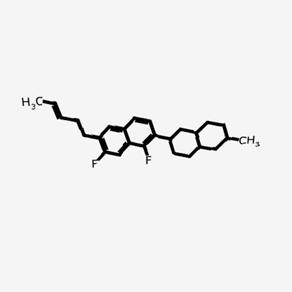 C/C=C/CCc1cc2ccc(C3CCC4CC(C)CCC4C3)c(F)c2cc1F